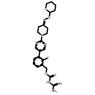 N=C(N)NC(=O)OCc1cccc(-c2cnc(N3CCC(=NOC4CCCCO4)CC3)nc2)c1F